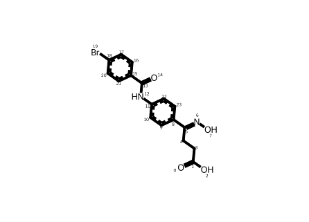 O=C(O)CCC(=NO)c1ccc(NC(=O)c2ccc(Br)cc2)cc1